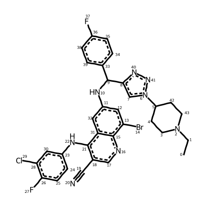 CCN1CCC(n2cc(C(Nc3cc(Br)c4ncc(C#N)c(Nc5ccc(F)c(Cl)c5)c4c3)c3ccc(F)cc3)nn2)CC1